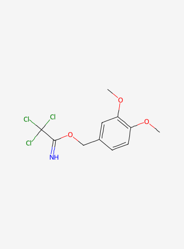 COc1ccc(COC(=N)C(Cl)(Cl)Cl)cc1OC